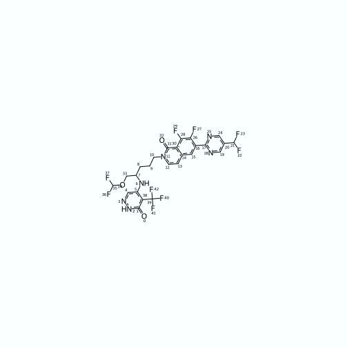 O=c1[nH]ncc(NC(CCCn2ccc3cc(-c4ncc(C(F)F)cn4)c(F)c(F)c3c2=O)COC(F)F)c1C(F)(F)F